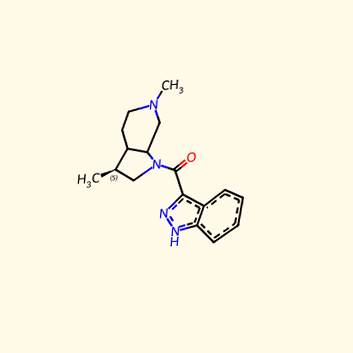 C[C@@H]1CN(C(=O)c2n[nH]c3ccccc23)C2CN(C)CCC21